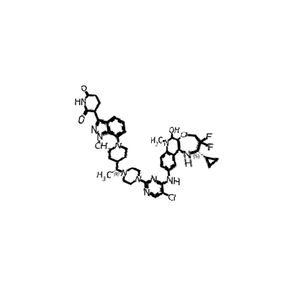 C[C@H](C1CCN(c2cccc3c(C4CCC(=O)NC4=O)nn(C)c23)CC1)N1CCN(c2ncc(Cl)c(Nc3ccc4c(c3)C3=C(OCC(F)(F)[C@H](C5CC5)N3)C(O)N4C)n2)CC1